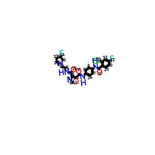 O=C(Nc1ccc(NC(=O)c2ocnc2C(=O)NCCN2CC[C@H](F)C2)cc1)c1ccc(F)cc1Cl